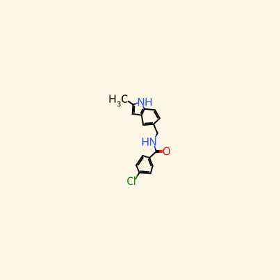 Cc1cc2cc(CNC(=O)c3ccc(Cl)cc3)ccc2[nH]1